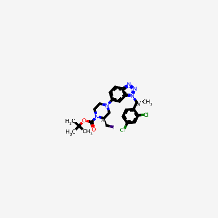 C[C@H](c1ccc(Cl)cc1Cl)n1nnc2ccc(N3CCN(C(=O)OC(C)(C)C)[C@H](CI)C3)cc21